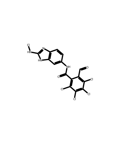 O=Cc1c(Cl)c(Cl)c(Cl)c(Cl)c1C(=O)Nc1ccc2nc(NCl)[nH]c2c1